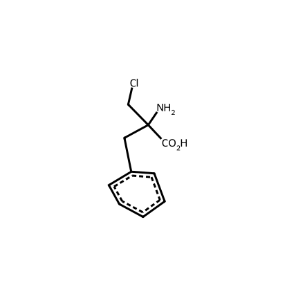 NC(CCl)(Cc1ccccc1)C(=O)O